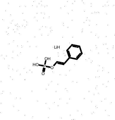 O=P(O)(O)OC=Cc1ccccc1.[LiH]